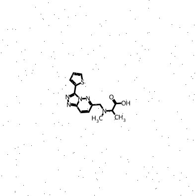 CC(C(=O)O)N(C)Cc1ccc2nnc(-c3cccs3)n2n1